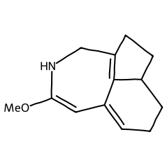 COC1=CC2=CCCC3CCC(=C23)CN1